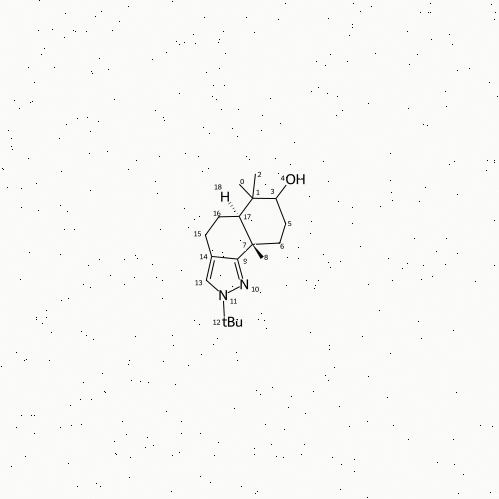 CC1(C)C(O)CC[C@]2(C)c3nn(C(C)(C)C)cc3CC[C@@H]12